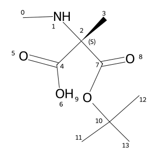 CN[C@@](C)(C(=O)O)C(=O)OC(C)(C)C